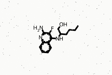 CCCCC(CO)Nc1c(F)c(N)nc2ccccc12